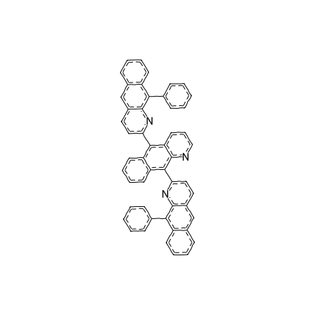 c1ccc(-c2c3ccccc3cc3ccc(-c4c5ccccc5c(-c5ccc6cc7ccccc7c(-c7ccccc7)c6n5)c5ncccc45)nc23)cc1